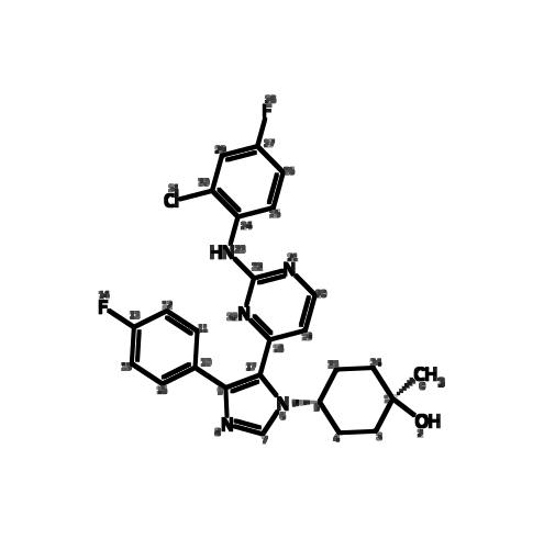 C[C@]1(O)CC[C@H](n2cnc(-c3ccc(F)cc3)c2-c2ccnc(Nc3ccc(F)cc3Cl)n2)CC1